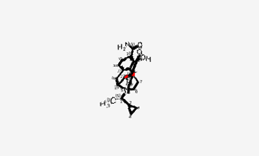 C[C@@H](C1CC1)N1CC[C@]23CC(=O)CC[C@H]2C1Cc1ccc(C(N)=O)c(O)c13